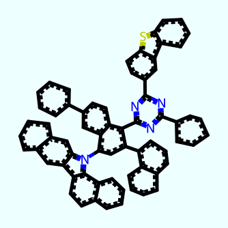 c1ccc(-c2ccc3c(-c4nc(-c5ccccc5)nc(-c5ccc6sc7ccccc7c6c5)n4)c(-c4cccc5ccccc45)cc(-n4c5cc6ccccc6cc5c5ccc6ccccc6c54)c3c2)cc1